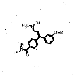 COc1cccc(C(=CCN(C)C)c2ccc(C(=O)N(C(C)C)C(C)C)cc2)c1